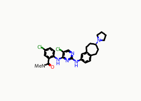 CNC(=O)c1cc(Cl)ccc1Nc1nc(Nc2ccc3c(c2)CC[C@@H](N2CCCC2)CC3)ncc1Cl